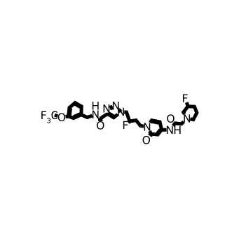 O=C(CN1CCCC(F)C1)Nc1ccn(CCC(F)Cn2cc(C(=O)NCc3cccc(OC(F)(F)F)c3)nn2)c(=O)c1